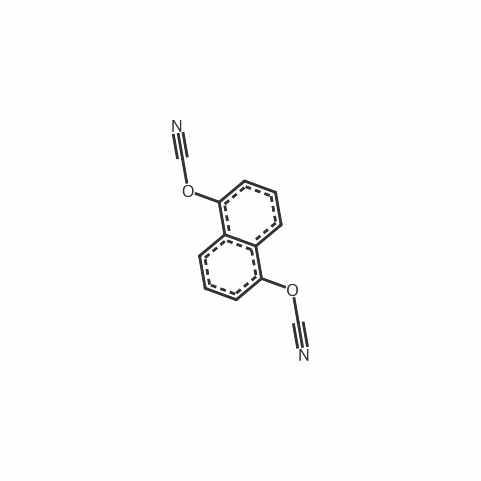 N#COc1cccc2c(OC#N)cccc12